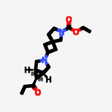 CCOC(=O)N1CCC2(CC(N3C[C@@H]4[C@H](C3)[C@@H]4C(=O)CC)C2)C1